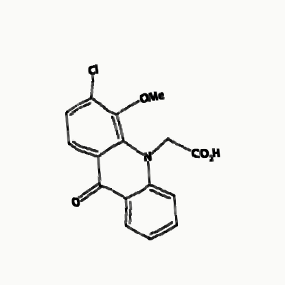 COc1c(Cl)ccc2c(=O)c3ccccc3n(CC(=O)O)c12